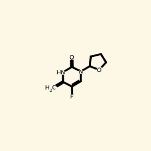 C=C1NC(=O)N(C2CCCO2)C=C1F